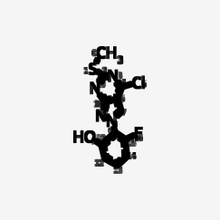 CSc1nc(Cl)c2cn(-c3c(O)cccc3F)nc2n1